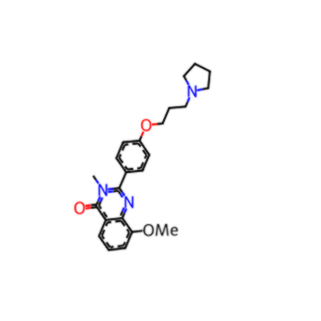 COc1cccc2c(=O)n(C)c(-c3ccc(OCCCN4CCCC4)cc3)nc12